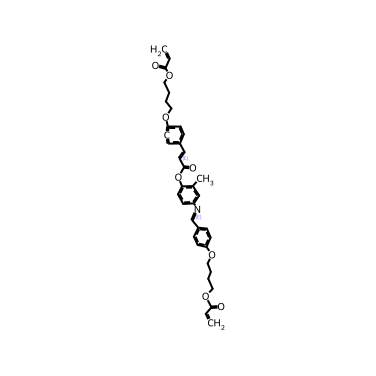 C=CC(=O)OCCCCOc1ccc(/C=C/C(=O)Oc2ccc(/N=C/c3ccc(OCCCCOC(=O)C=C)cc3)cc2C)cc1